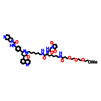 COCCOCCOCCOCCC(=O)NCCCCC[C@H](NC(=O)CN1C(=O)C=CC1=O)C(=O)NCCCCCCN1N=C(c2ccc(NC(=O)N3Cc4ccncc4C3)cc2)CC(c2cccc3ncccc23)C1=O